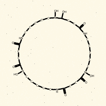 O=C1CCC(=O)N(O)CCCCCNC(=O)CCC(=O)N(O)CCCCCNC(=O)CCC(O)N(O)CCCCCN1